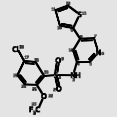 O=S(=O)(Nc1cncc(-c2cccs2)c1)c1cc(Cl)ccc1OC(F)(F)F